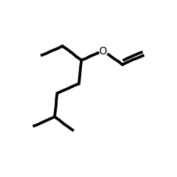 C=COC(CC)CCC(C)C